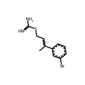 C/C(=C\CSC(=N)N)c1cccc(Br)c1